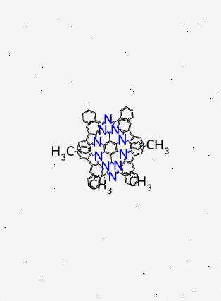 Cc1ccc2c(c1)c1cc(C)ccc1n2-c1c(-c2nc(-c3ccccc3)nc(-c3ccccc3)n2)c(-n2c3ccc(C)cc3c3cc(C)ccc32)c(-n2c3ccccc3c3ccccc32)c(-c2nc(-c3ccccc3)nc(-c3ccccc3)n2)c1-n1c2ccccc2c2ccccc21